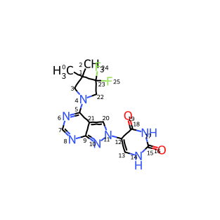 CC1(C)CN(c2ncnc3nn(-c4c[nH]c(=O)[nH]c4=O)cc23)CC1(F)F